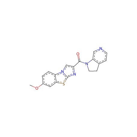 COc1ccc2c(c1)sc1nc(C(=O)N3CCc4ccncc43)cn12